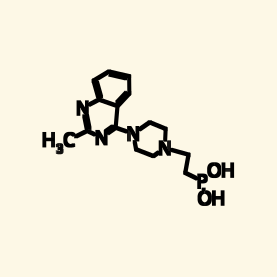 Cc1nc(N2CCN(CCP(O)O)CC2)c2ccccc2n1